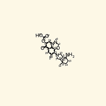 CN1COc2c(N3CC4C(C3)C3(N)CCC4(C)C3)c(F)cc3c(=O)c(OC(=O)O)cn1c23